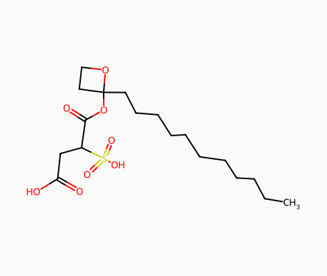 CCCCCCCCCCCC1(OC(=O)C(CC(=O)O)S(=O)(=O)O)CCO1